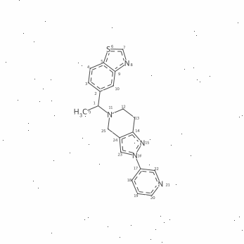 CC(c1ccc2scnc2c1)N1CCc2nn(-c3cccnc3)cc2C1